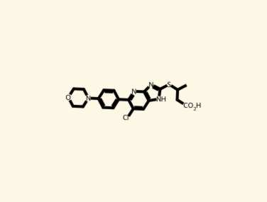 CC(CC(=O)O)Sc1nc2nc(-c3ccc(N4CCOCC4)cc3)c(Cl)cc2[nH]1